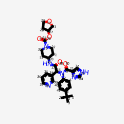 CC(C)(C)c1ccc(N(C(=O)c2c[nH]cn2)C(C(=O)NC2CCN(C(=O)OC3CCOC3)CC2)c2cccnc2)cc1